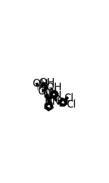 OC[C@H]1O[C@@H](n2cc(-c3ccccc3)c3c(Nc4ccc(Cl)c(Cl)c4)ncnc32)[C@@H](O)[C@H]1O